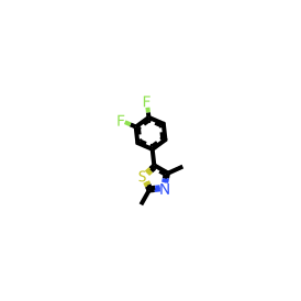 Cc1nc(C)c(-c2ccc(F)c(F)c2)s1